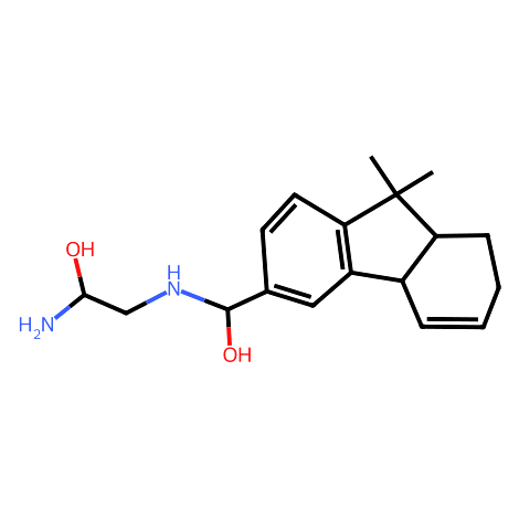 CC1(C)c2ccc(C(O)NCC(N)O)cc2C2C=CCCC21